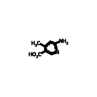 Cc1cc(N)ncc1C(=O)O